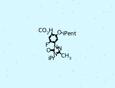 CCC[C@H](C)Oc1cc(-n2nc(C)n(C(C)C)c2=O)c(F)cc1C(=O)O